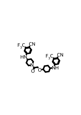 N#Cc1ccc(NC2CCC(OCC(=O)N3CCC(Nc4ccc(C#N)c(C(F)(F)F)c4)CC3)CC2)cc1C(F)(F)F